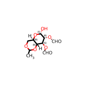 CC1OC[C@H]2O[C@H](O)[C@H](OC=O)[C@@H](OC=O)[C@@H]2O1